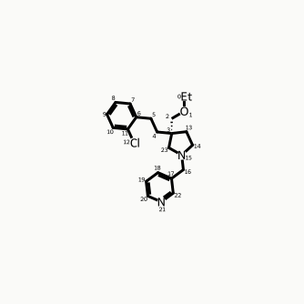 CCOC[C@]1(CCc2ccccc2Cl)CCN(Cc2cccnc2)C1